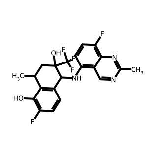 Cc1ncc2c(NC3c4ccc(F)c(O)c4C(C)CC3(O)C(F)(F)F)ccc(F)c2n1